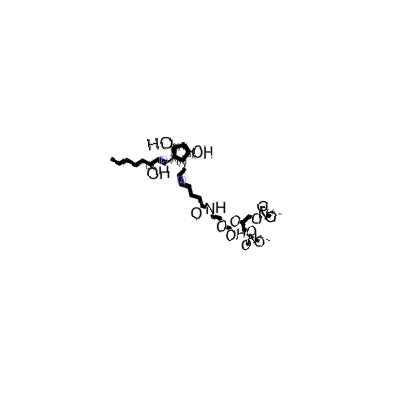 CCCCC[C@H](O)/C=C/[C@@H]1[C@@H](C/C=C\CCCC(=O)NCCOC(O)OC(CO[N+](=O)[O-])CO[N+](=O)[O-])[C@@H](O)C[C@H]1O